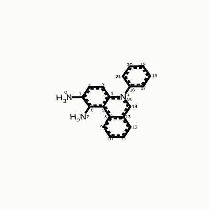 Nc1ccc2c(c1N)c1ccccc1c[n+]2-c1ccccc1